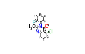 Cc1nc2cccc(Cl)c2c(=O)n1-c1ccccc1F